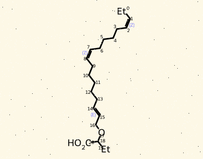 CC/C=C\CCCC/C=C\CCCCC/C=C/COC(CC)C(=O)O